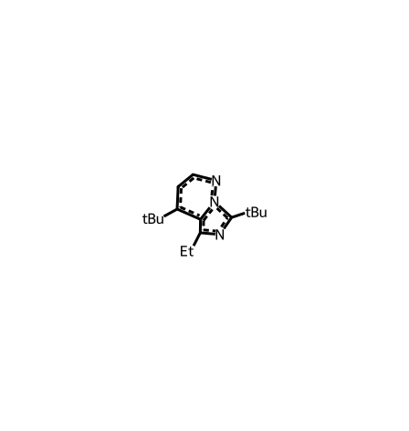 CCc1nc(C(C)(C)C)n2nccc(C(C)(C)C)c12